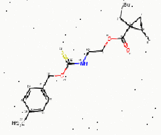 CC1CC1(CC(C)(C)C)C(=O)OCCNC(=S)OCc1ccc(C(=O)O)cc1